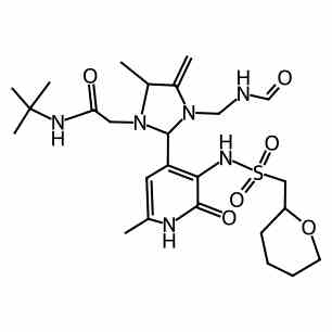 C=C1C(C)N(CC(=O)NC(C)(C)C)C(c2cc(C)[nH]c(=O)c2NS(=O)(=O)CC2CCCCO2)N1CNC=O